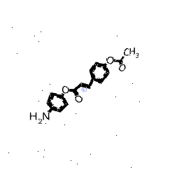 CC(=O)Oc1ccc(/C=C/C(=O)Oc2ccc(N)cc2)cc1